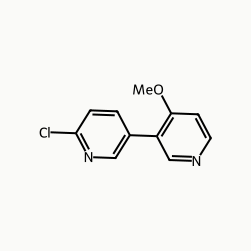 COc1ccncc1-c1ccc(Cl)nc1